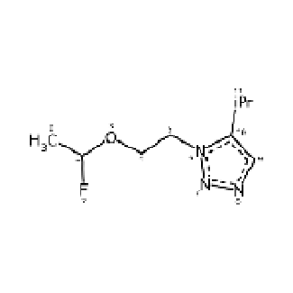 CC(F)OCCn1nncc1C(C)C